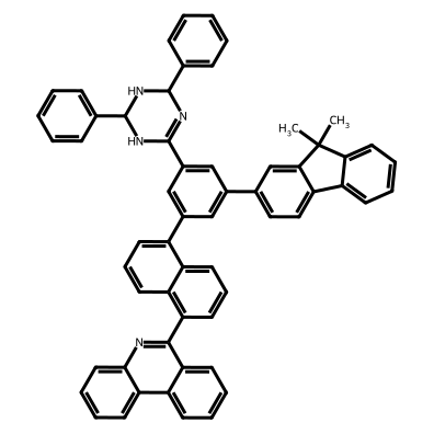 CC1(C)c2ccccc2-c2ccc(-c3cc(C4=NC(c5ccccc5)NC(c5ccccc5)N4)cc(-c4cccc5c(-c6nc7ccccc7c7ccccc67)cccc45)c3)cc21